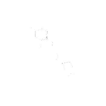 O=S1(=O)C=CC(C=C[S+]([O-])Cc2ccc(Cl)cc2Cl)=C1